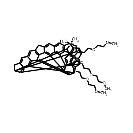 COCCOCCOc1ccc(C2C34Cc5cc6cc7c8c9c(cc%10cc%11c%12c%13c(cc(c%14c%15c3c5c3c6c8c5c3c%15c(c%14%13)c3c%12c%10c9c35)C4C[N+]2(C)C)C%11)C7)c(OCCOCCOC)c1OCCOCCOC